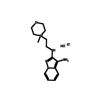 C[N+]1(CCNc2nn3ccccc3c2N)CCOCC1.Cl.[Cl-]